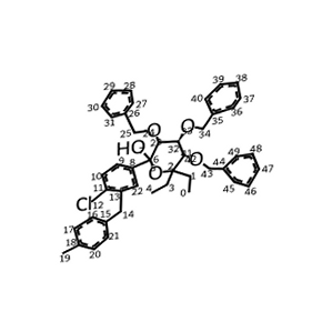 CCC1(CC)OC(O)(c2ccc(Cl)c(Cc3ccc(C)cc3)c2)C(OCc2ccccc2)[C@@H](OCc2ccccc2)[C@@H]1OCc1ccccc1